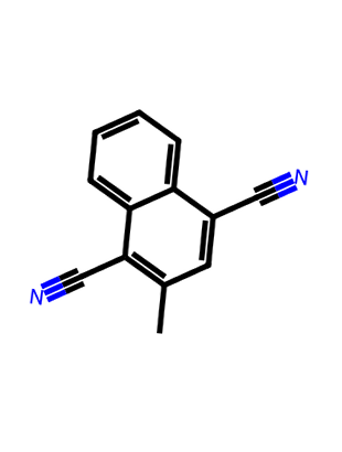 Cc1cc(C#N)c2ccccc2c1C#N